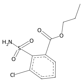 CCCOC(=O)c1cccc(Cl)c1S(N)(=O)=O